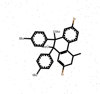 COC1(c2ccc(C(C)(C)C)cc2)C2=C(c3ccc(Br)cc3C1(OC)c1ccc(C(C)(C)C)cc1)C(C)CC(Br)=C2